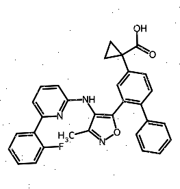 Cc1noc(-c2cc(C3(C(=O)O)CC3)ccc2-c2ccccc2)c1Nc1cccc(-c2ccccc2F)n1